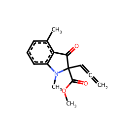 C=C=CC1(C(=O)OC)C(=O)c2c(C)cccc2N1C